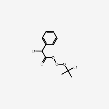 CCC(C(=O)OOOC(C)(C)CC)c1ccccc1